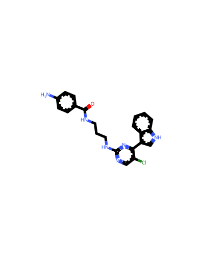 Nc1ccc(C(=O)NCCCNc2ncc(Cl)c(-c3c[nH]c4ccccc34)n2)cc1